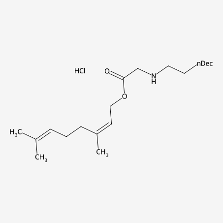 CCCCCCCCCCCCNCC(=O)OCC=C(C)CCC=C(C)C.Cl